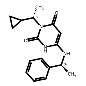 C[C@H](Nc1cc(=O)n([C@@H](C)C2CC2)c(=O)[nH]1)c1ccccc1